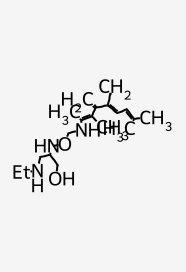 C=C/C(=C\C=C(C)C)C(=C)/C(C)=C(\C)NCONC(CO)CNCC